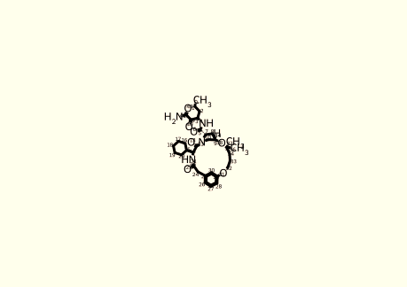 CCCC(NC(=O)[C@@H]1C[C@@H]2CN1C(=O)C(C1CCCCC1)NC(=O)Cc1cccc(c1)OCCCC(C)(C)O2)C(=O)C(N)=O